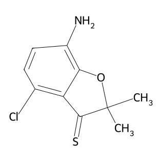 CC1(C)Oc2c(N)ccc(Cl)c2C1=S